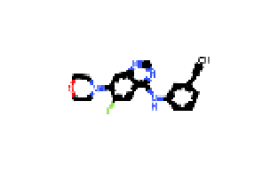 C#Cc1cccc(Nc2ncnc3cc(N4CCOCC4)c(F)cc23)c1